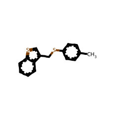 Cc1ccc(SCc2csc3ccccc23)cc1